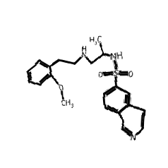 COc1ccccc1CCNC[C@@H](C)NS(=O)(=O)c1ccc2cnccc2c1